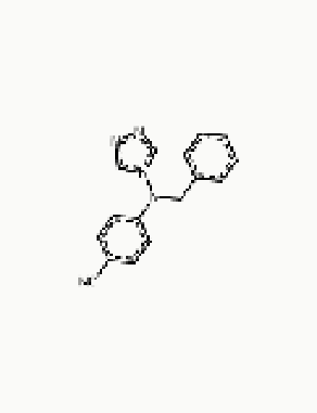 N#Cc1ccc(N(Cc2ccccc2)n2cnnc2)cc1